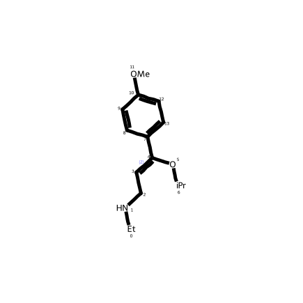 CCNC/C=C(\OC(C)C)c1ccc(OC)cc1